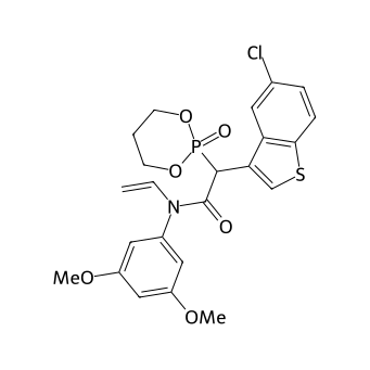 C=CN(C(=O)C(c1csc2ccc(Cl)cc12)P1(=O)OCCCO1)c1cc(OC)cc(OC)c1